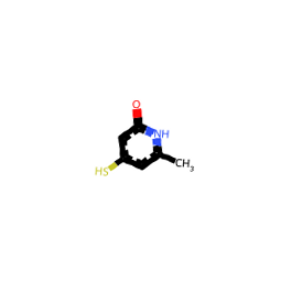 Cc1cc(S)cc(=O)[nH]1